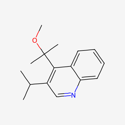 COC(C)(C)c1c(C(C)C)cnc2ccccc12